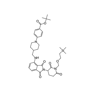 CC(C)(C)OC(=O)c1ccc(N2CCC(CNc3cccc4c3C(=O)N(C3CCC(=O)N(COCC[Si](C)(C)C)C3=O)C4=O)CC2)cc1